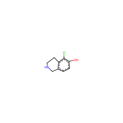 Oc1ccc2c(c1Cl)CCNC2